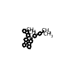 CC(C)c1ccc(-c2ccc(N(c3ccc4c(c3)C(C)(C)c3ccccc3-4)c3ccc4c(c3)C3(c5ccccc5-c5ccccc53)c3ccccc3-4)cc2)cc1